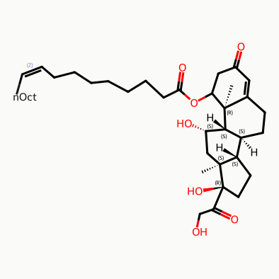 CCCCCCCC/C=C\CCCCCCCC(=O)OC1CC(=O)C=C2CC[C@@H]3[C@H]([C@@H](O)C[C@@]4(C)[C@H]3CC[C@]4(O)C(=O)CO)[C@]21C